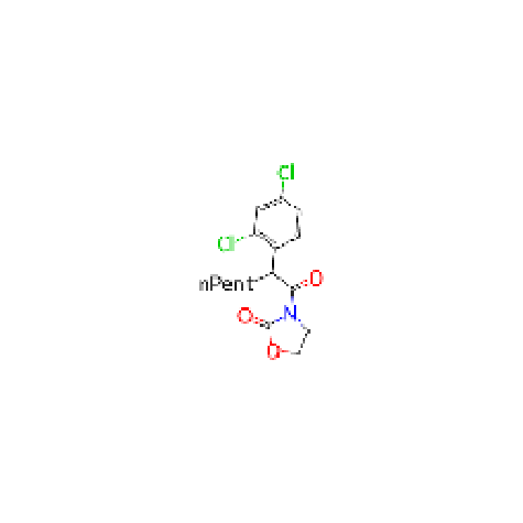 CCCCCC(C(=O)N1CCOC1=O)c1ccc(Cl)cc1Cl